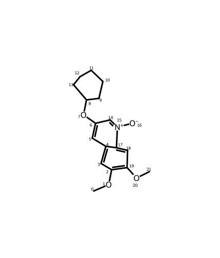 COc1cc2cc(OC3CCCCC3)c[n+]([O-])c2cc1OC